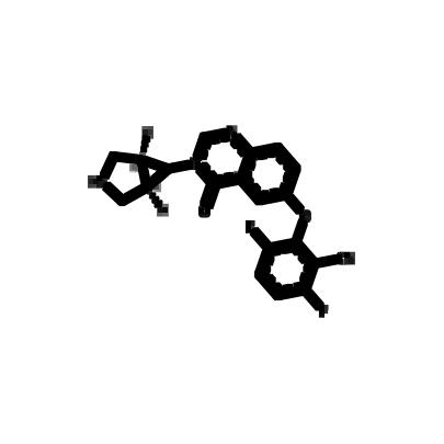 N#Cc1c(F)ccc(F)c1Oc1ccc2ncn(C3[C@H]4CNC[C@@H]34)c(=O)c2c1